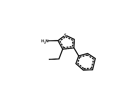 CCc1c(-c2ccccc2)csc1N